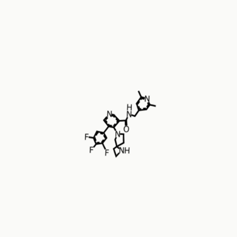 Cc1cc(CNC(=O)c2cncc(-c3cc(F)c(F)c(F)c3)c2N2CCC3(CCN3)C2)cc(C)n1